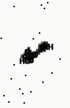 CC(C)O[C@H](C)c1ccccc1C(C(=O)O)N1CCC(OCCCCc2ccc3c(n2)NCCC3)C1